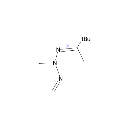 C=NN(C)/N=C(\C)C(C)(C)C